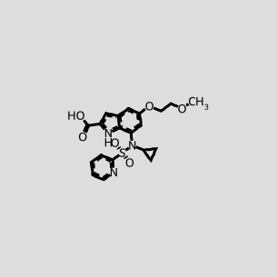 COCCOc1cc(N(C2CC2)S(=O)(=O)c2ccccn2)c2[nH]c(C(=O)O)cc2c1